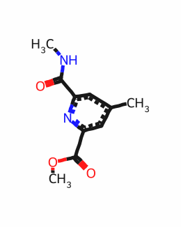 CNC(=O)c1cc(C)cc(C(=O)OC)n1